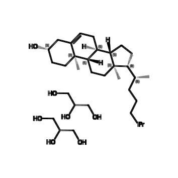 CC(C)CCC[C@@H](C)[C@H]1CC[C@H]2[C@@H]3CC=C4C[C@@H](O)CC[C@]4(C)[C@H]3CC[C@]12C.OCC(O)CO.OCC(O)CO